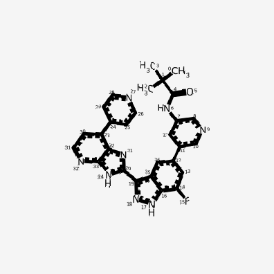 CC(C)(C)C(=O)Nc1cncc(-c2cc(F)c3[nH]nc(-c4nc5c(-c6ccncc6)ccnc5[nH]4)c3c2)c1